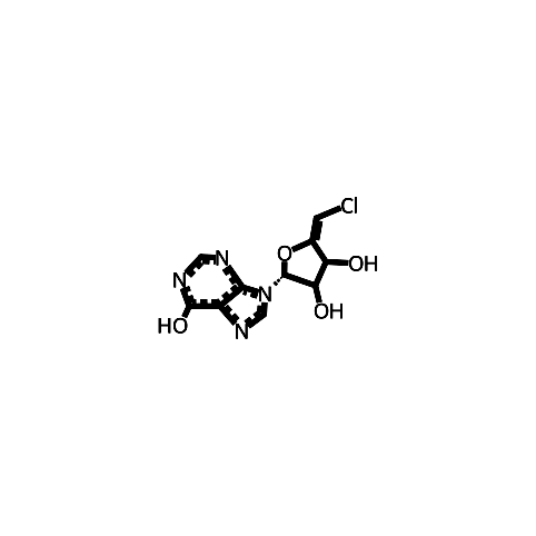 Oc1ncnc2c1ncn2[C@@H]1O/C(=C/Cl)C(O)C1O